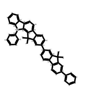 CC1(C)c2cc(-c3ccccc3)ccc2-c2ccc(-c3ccc4c(c3)C(C)(C)c3c-4ccc4c5ccccc5n(-c5ccccc5)c34)cc21